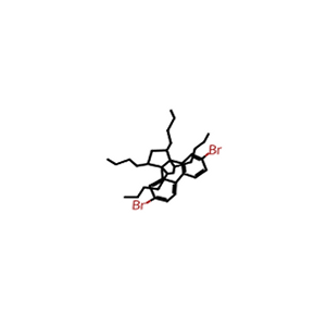 CCCCC1CC(CCCC)C23c4cc(Br)ccc4-c4ccc(Br)cc4C12C(CCCC)CC3CCCC